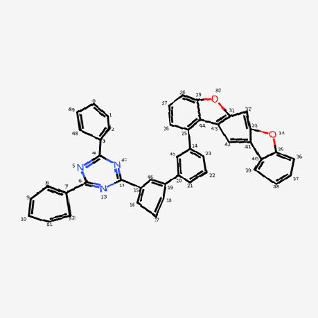 c1ccc(-c2nc(-c3ccccc3)nc(-c3cccc(-c4cccc(-c5cccc6oc7cc8oc9ccccc9c8cc7c56)c4)c3)n2)cc1